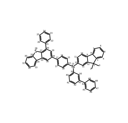 CC1(C)c2ccccc2-c2ccc(N(c3ccc(-c4cc(-c5ccccc5)c5sc6ccccc6c5c4)cc3)c3cccc(-c4ccccc4)c3)cc21